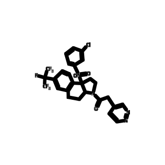 O=C(Cc1ccnnc1)N1CCC2(S(=O)(=O)c3cccc(Cl)c3)c3ccc(C(F)(C(F)(F)F)C(F)(F)F)cc3CCC12